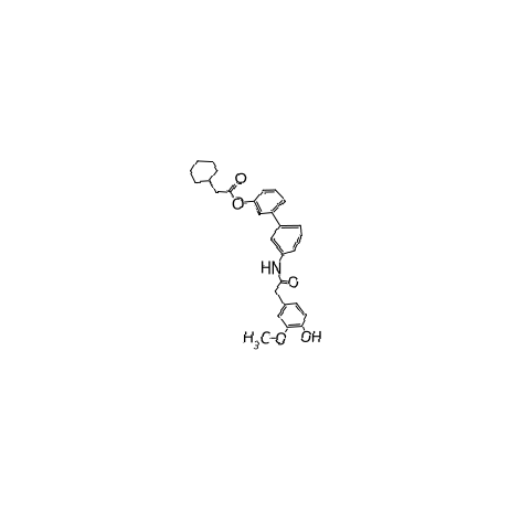 COc1cc(CC(=O)Nc2cccc(-c3cccc(OC(=O)CC4CCCCC4)c3)c2)ccc1O